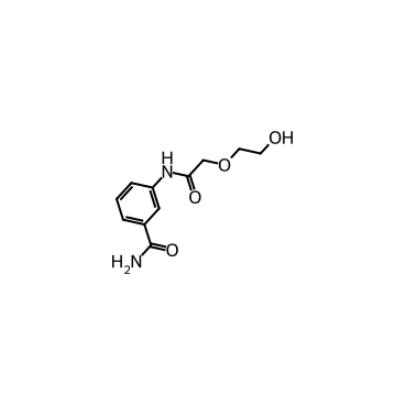 NC(=O)c1cccc(NC(=O)COCCO)c1